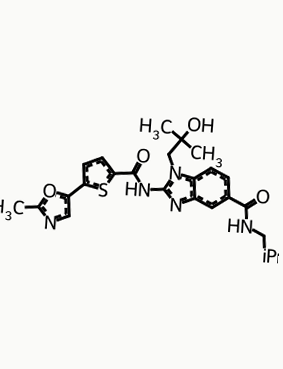 Cc1ncc(-c2ccc(C(=O)Nc3nc4cc(C(=O)NCC(C)C)ccc4n3CC(C)(C)O)s2)o1